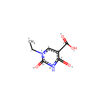 CCn1cc(C(=O)O)c(=O)[nH]c1=O